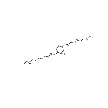 CCOCCCCCCOCC1CCC(COCCOCCOCC)C2OC12